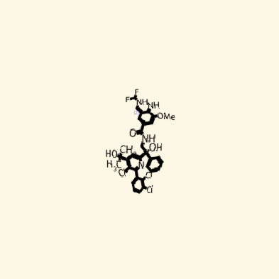 COC1=CC(C(=O)NC[C@@](O)(c2ccccc2)c2cc(C(C)(C)O)c(Cl)c(-c3cccc(Cl)c3Cl)n2)=C/C(=C/NC(F)F)C1=N